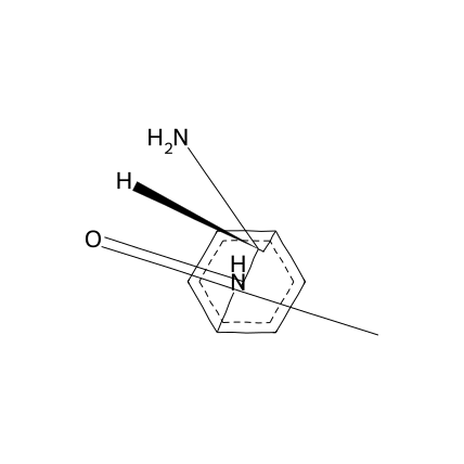 N[C@@H]1Cc2ccc(cc2)NC1=O